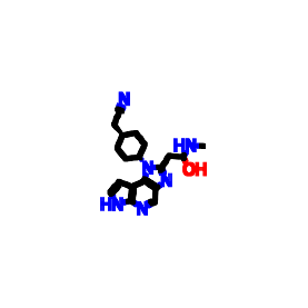 CNC(O)Cc1nc2cnc3[nH]ccc3c2n1[C@H]1CC[C@H](CC#N)CC1